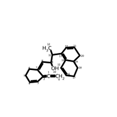 C=C=C1C=CCC/C1=C/C(O)C(C)C1=C2C=CCCC2CC=C1